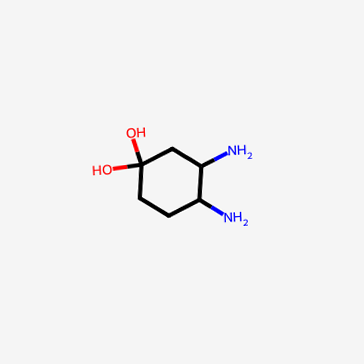 NC1CCC(O)(O)CC1N